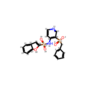 O=S(=O)(Cc1ccccc1)c1cnccc1NS(=O)(=O)c1cc2ccccc2o1